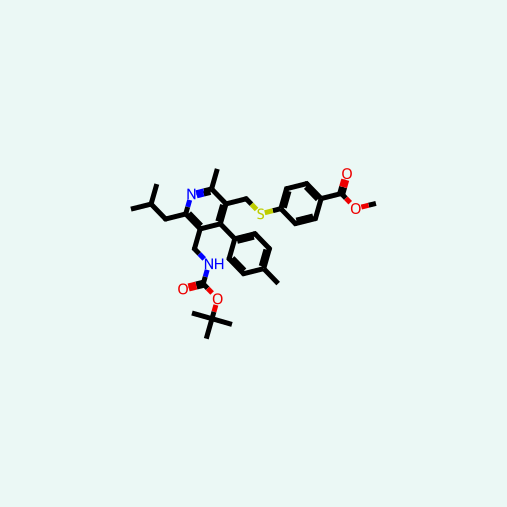 COC(=O)c1ccc(SCc2c(C)nc(CC(C)C)c(CNC(=O)OC(C)(C)C)c2-c2ccc(C)cc2)cc1